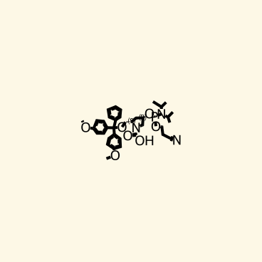 COc1ccc(C(OC[C@@H]2C[C@@H](OP(OCCC#N)N(C(C)C)C(C)C)CN2C(=O)O)(c2ccccc2)c2ccc(OC)cc2)cc1